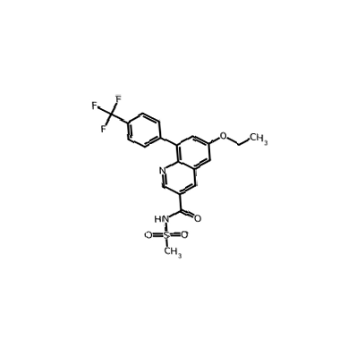 CCOc1cc(-c2ccc(C(F)(F)F)cc2)c2ncc(C(=O)NS(C)(=O)=O)cc2c1